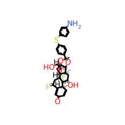 C[C@]1(c2ccc(Sc3ccc(N)cc3)cc2)O[C@@H]2C[C@H]3[C@@H]4C[C@H](F)C5=CC(=O)C=C[C@]5(C)[C@@]4(F)[C@@H](O)C[C@]3(C)[C@]2(C(=O)CO)O1